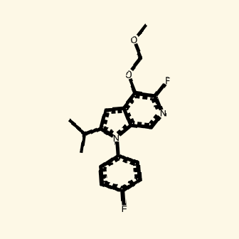 COCOc1c(F)ncc2c1cc(C(C)C)n2-c1ccc(F)cc1